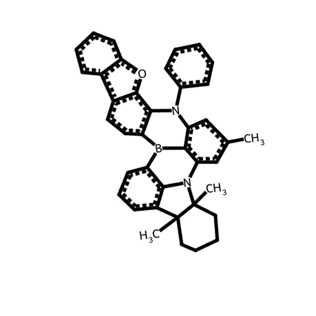 Cc1cc2c3c(c1)N1c4c(cccc4C4(C)CCCCC14C)B3c1ccc3c(oc4ccccc43)c1N2c1ccccc1